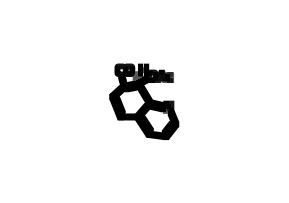 CC(=O)Oc1c(C(=O)O)ccc2cccnc12